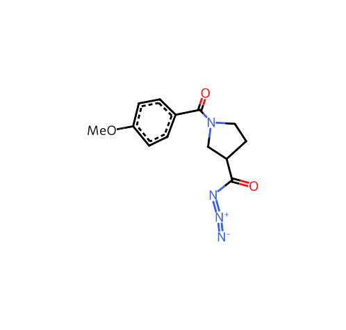 COc1ccc(C(=O)N2CCC(C(=O)N=[N+]=[N-])C2)cc1